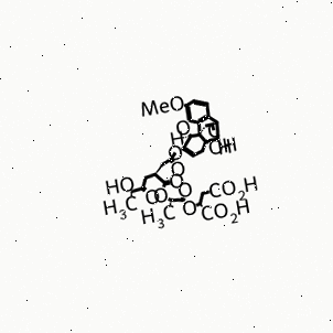 COc1ccc2c3c1O[C@@H]1C(OC(=O)C[C@H](CC(=O)[C@H](C)O)C(=O)O[C@@H](C)C(=O)O[C@H](CC(=O)O)C(=O)O)=CC[C@]4(O)[C@@H](CCC[C@@]314)C2